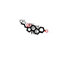 CCCCC1(O)CC[C@H]2[C@@H]3CCC4=CC(=O)CC[C@]4(C)[C@@H]3CC[C@@]21C